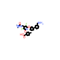 Cc1ccc(C(=O)O)c(Oc2nc(Oc3cccc(-c4cccc(CN)c4)c3)c(F)c(CNC(=O)N(C)C)c2F)c1